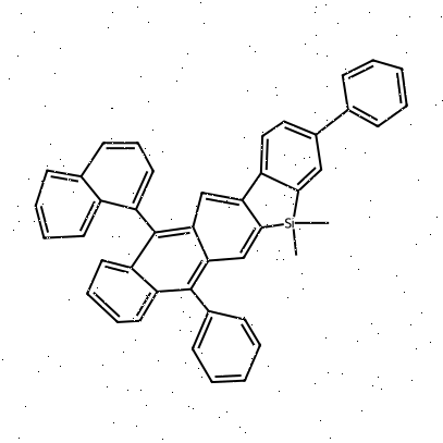 C[Si]1(C)c2cc(-c3ccccc3)ccc2-c2cc3c(-c4cccc5ccccc45)c4ccccc4c(-c4ccccc4)c3cc21